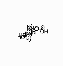 CCCCN(NC(=O)NOC(C)(C)C)c1nc2cc(C(=O)O)ccc2n2c(C)nnc12